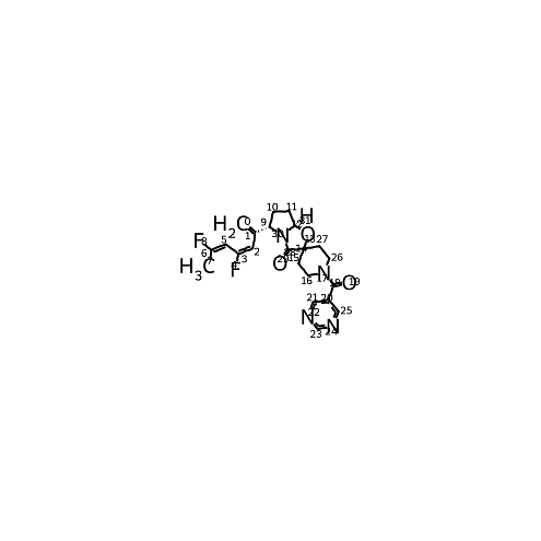 C=C(/C=C(F)\C=C(/C)F)[C@@H]1CC[C@H]2OC3(CCN(C(=O)c4cncnc4)CC3)C(=O)N21